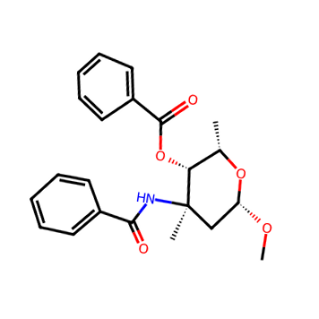 CO[C@@H]1C[C@@](C)(NC(=O)c2ccccc2)[C@H](OC(=O)c2ccccc2)[C@H](C)O1